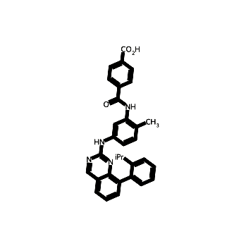 Cc1ccc(Nc2ncc3cccc(-c4ccccc4C(C)C)c3n2)cc1NC(=O)c1ccc(C(=O)O)cc1